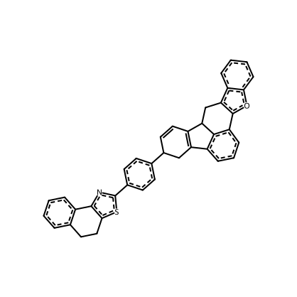 C1=CC(c2ccc(-c3nc4c(s3)CCc3ccccc3-4)cc2)CC2=C1C1Cc3c(oc4ccccc34)-c3cccc2c31